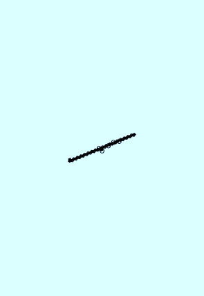 CCCCCCCCCOCCOCCOCCCC(=O)OCCCCCCCCCCCCCCCC(C)C